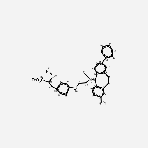 CCCc1ccc2c(c1)CCc1cc(-c3ccccc3)ccc1C2N(C)CCOc1ccc(CC(OCC)C(=O)OCC)cc1